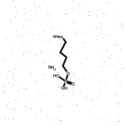 CCCCCCCCCCOP(=O)(O)O.N